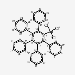 Cl[Si](Cl)(Cl)c1c(-c2ccccc2)c(-c2ccccc2)c(-c2ccccc2)c(-c2ccccc2)c1-c1ccccc1